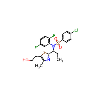 CCC(c1nc(C)c(CCO)s1)N(c1cc(F)ccc1F)S(=O)(=O)c1ccc(Cl)cc1